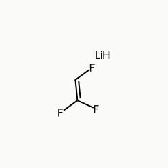 FC=C(F)F.[LiH]